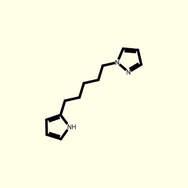 c1c[nH]c(CCCCCn2cccn2)c1